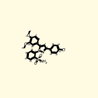 COc1ccc(-c2cc(-c3ccc(Cl)cc3)nn2-c2ccccc2S(N)(=O)=O)cc1OC